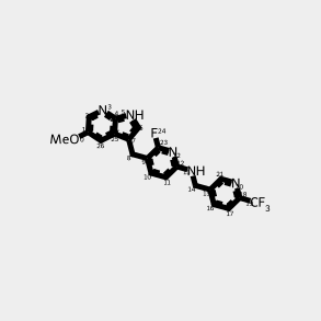 COc1cnc2[nH]cc(Cc3ccc(NCc4ccc(C(F)(F)F)nc4)nc3F)c2c1